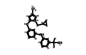 CC(C)(O)c1cc(Nc2cc(Oc3cc(C(F)(F)F)nn3CC3CC3)ccn2)ccn1